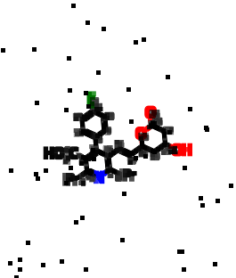 CC(C)c1nc(C(C)C)c(C(=O)O)c(-c2ccc(F)cc2)c1/C=C/C1CC(O)CC(=O)O1